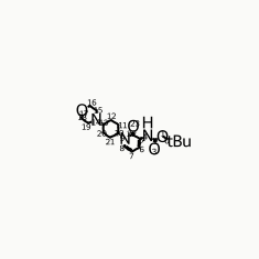 CC(C)(C)OC(=O)Nc1cccn([C@H]2CC[C@@H](N3CCOCC3)CC2)c1=O